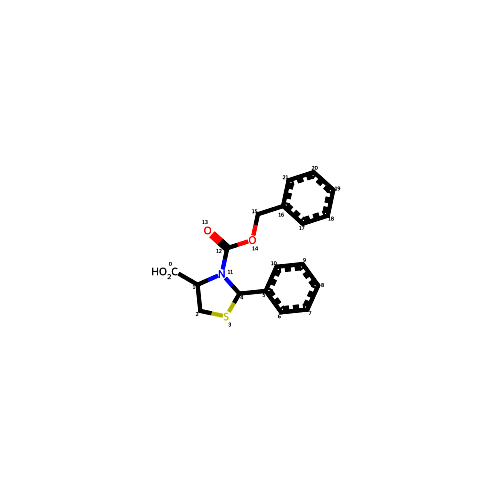 O=C(O)C1CSC(c2ccccc2)N1C(=O)OCc1ccccc1